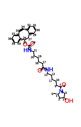 C[C@@H]1CC(O)CN1C(=O)CCCCCNC(=O)CCCCCNC(=O)OC1Cc2ccccc2C#Cc2ccccc21